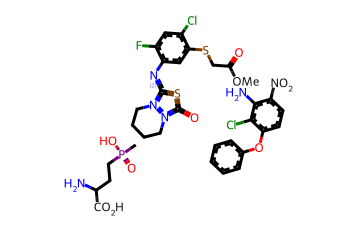 COC(=O)CSc1cc(/N=c2\sc(=O)n3n2CCCC3)c(F)cc1Cl.CP(=O)(O)CCC(N)C(=O)O.Nc1c([N+](=O)[O-])ccc(Oc2ccccc2)c1Cl